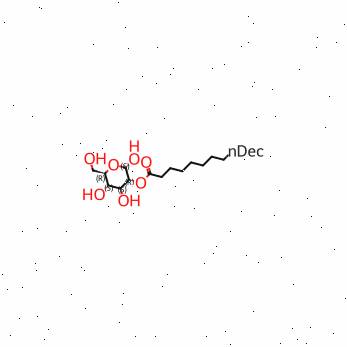 CCCCCCCCCCCCCCCCCC(=O)O[C@@H]1[C@@H](O)[C@H](O)[C@@H](CO)O[C@@H]1O